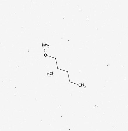 CCCCCON.Cl